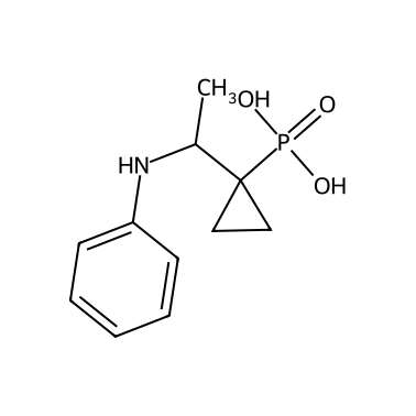 CC(Nc1ccccc1)C1(P(=O)(O)O)CC1